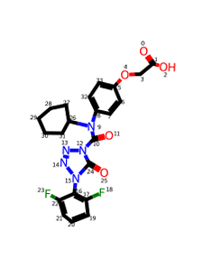 O=C(O)COc1ccc(N(C(=O)n2nnn(-c3c(F)cccc3F)c2=O)C2CCCCC2)cc1